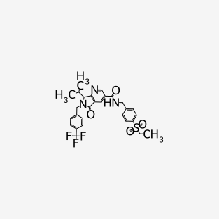 CCS(=O)(=O)c1ccc(CNC(=O)c2cnc3c(c2)C(=O)N(Cc2ccc(C(F)(F)F)cc2)C3C(C)C)cc1